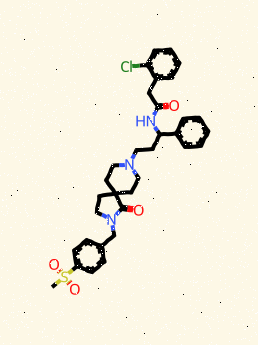 CS(=O)(=O)c1ccc(CN2CCC3(CCN(CCC(NC(=O)Cc4ccccc4Cl)c4ccccc4)CC3)C2=O)cc1